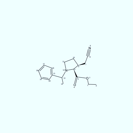 CCOC(=O)[C@@H]1[C@H](CC#N)CCN1C(C)c1ccccc1